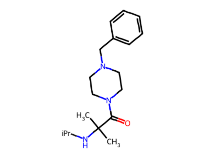 CC(C)NC(C)(C)C(=O)N1CCN(Cc2ccccc2)CC1